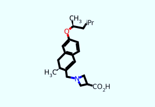 CC(C)C[C@H](C)Oc1ccc2c(c1)C[C@@H](C)C(CN1CC(C(=O)O)C1)=C2